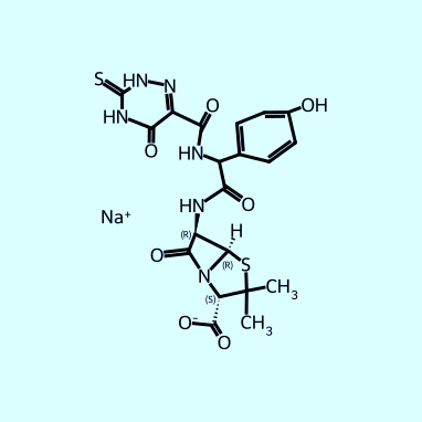 CC1(C)S[C@@H]2[C@H](NC(=O)C(NC(=O)c3n[nH]c(=S)[nH]c3=O)c3ccc(O)cc3)C(=O)N2[C@H]1C(=O)[O-].[Na+]